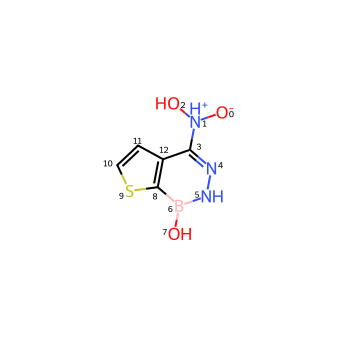 [O-][NH+](O)C1=NNB(O)c2sccc21